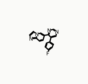 Fc1ccc(-c2cncnc2-c2ccc3nccn3c2)cc1